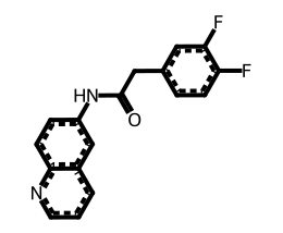 O=C(Cc1ccc(F)c(F)c1)Nc1ccc2ncccc2c1